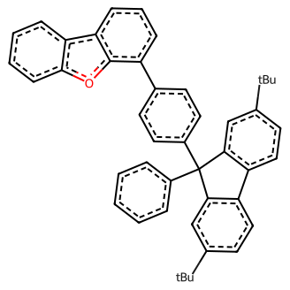 CC(C)(C)c1ccc2c(c1)C(c1ccccc1)(c1ccc(-c3cccc4c3oc3ccccc34)cc1)c1cc(C(C)(C)C)ccc1-2